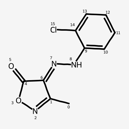 CC1=NOC(=O)/C1=N/Nc1ccccc1Cl